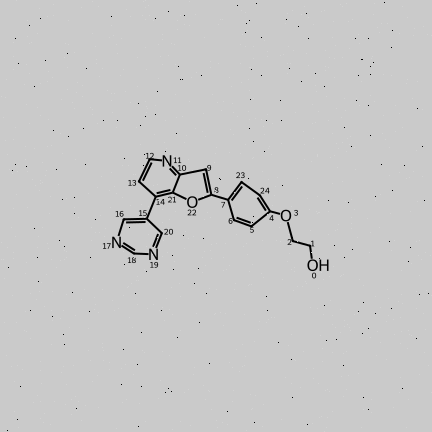 OCCOc1ccc(-c2cc3nccc(-c4cncnc4)c3o2)cc1